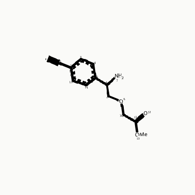 C#Cc1ccc(C(N)COCC(=O)OC)cc1